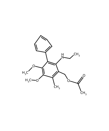 CCNc1c(COC(C)=O)c(C)c(OC)c(OC)c1-c1ccccc1